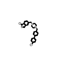 O=C1N=Cc2cc(CN3CCN(Cc4ccc(-c5ccc(Cl)cc5)cc4)CC3)ccc21